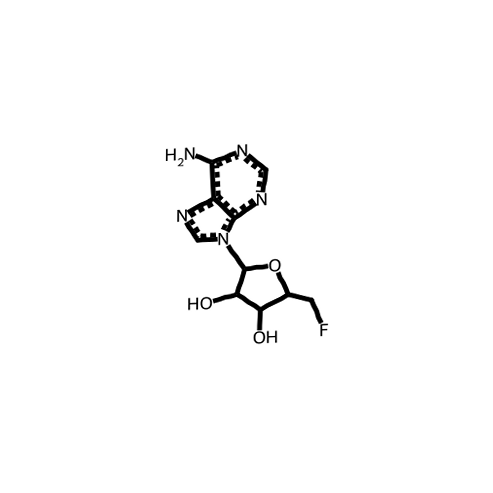 Nc1ncnc2c1ncn2C1OC(CF)C(O)C1O